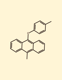 Cc1ccc(Oc2c3ccccc3c(C)c3ccccc23)cc1